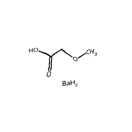 COCC(=O)O.[BaH2]